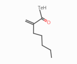 C=C(CCCCC)C(=O)[TeH]